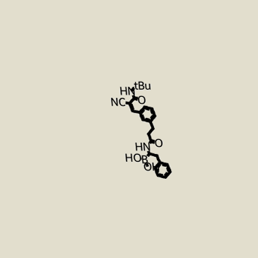 CC(C)(C)NC(=O)C(C#N)=Cc1cccc(CCC(=O)NC(Cc2ccccc2)B(O)O)c1